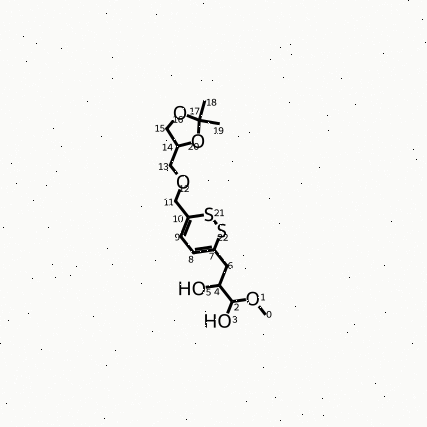 COC(O)C(O)CC1=CC=C(COCC2COC(C)(C)O2)SS1